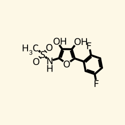 CS(=O)(=O)Nc1oc(-c2cc(F)ccc2F)c(O)c1O